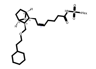 CCCCCCS(=O)(=O)NC(=O)CCC/C=C\C[C@H]1[C@@H](COCCC2CCCCC2)[C@H]2CC[C@@H]1O2